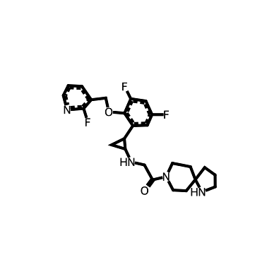 O=C(CNC1CC1c1cc(F)cc(F)c1OCc1cccnc1F)N1CCC2(CCCN2)CC1